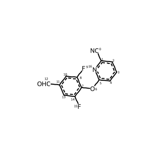 N#Cc1cccc(Oc2c(F)cc(C=O)cc2F)n1